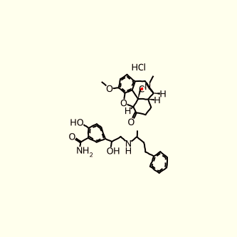 CC(CCc1ccccc1)NCC(O)c1ccc(O)c(C(N)=O)c1.COc1ccc2c3c1O[C@H]1C(=O)CC[C@H]4[C@@H](C2)N(C)CC[C@]314.Cl